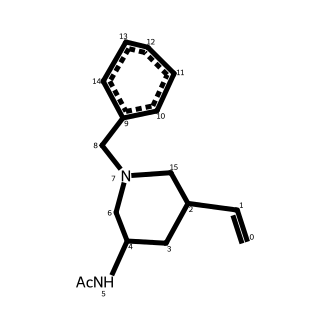 C=CC1CC(NC(C)=O)CN(Cc2ccccc2)C1